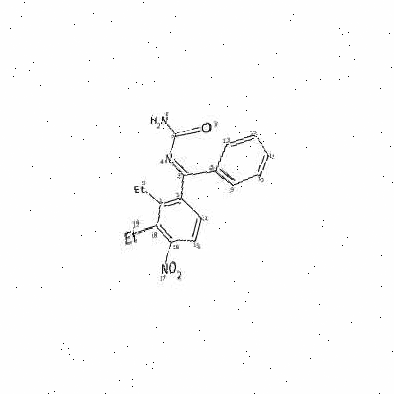 CCc1c(C(=NC(N)=O)c2ccccc2)ccc([N+](=O)[O-])c1CC